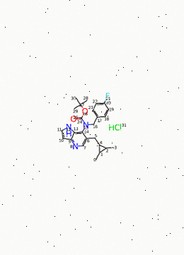 CC1C(C)C1Cc1cnc2cc[nH]c2c1N(Cc1ccc(F)cc1)C(=O)OC(C)(C)C.Cl